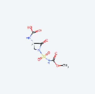 COC(=O)NS(=O)(=O)N1C[C@H](NC(=O)O)C1=O